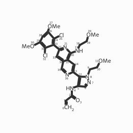 C=CC(=O)Nc1cnn(CCOC)c1-c1cc2c(NCCOC)nc(-c3c(Cl)c(OC)cc(OC)c3Cl)cc2cn1